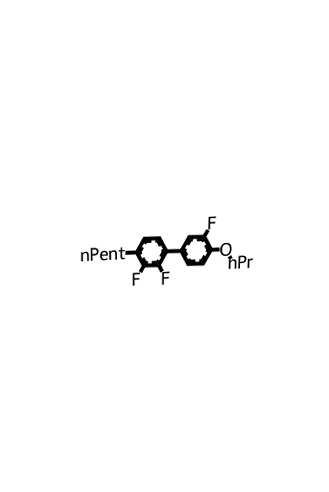 CCCCCc1ccc(-c2ccc(OCCC)c(F)c2)c(F)c1F